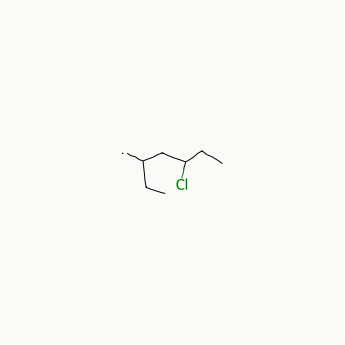 [CH2]C(CC)CC(Cl)CC